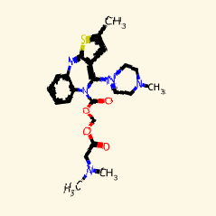 Cc1cc2c(s1)=Nc1ccccc1N(C(=O)OCOC(=O)CN(C)C)C=2N1CCN(C)CC1